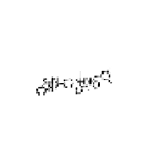 Cc1cc(C)cc(CC(=O)NC(C)C(=O)Nc2ccc(-c3cn4c(n3)sc3ccccc34)cc2)c1